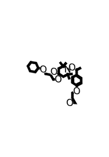 CC(ON1C(C)(C)CC2(CC1(C)C)OCC(COC1CCCCC1)O2)c1ccc(OCC2CO2)cc1